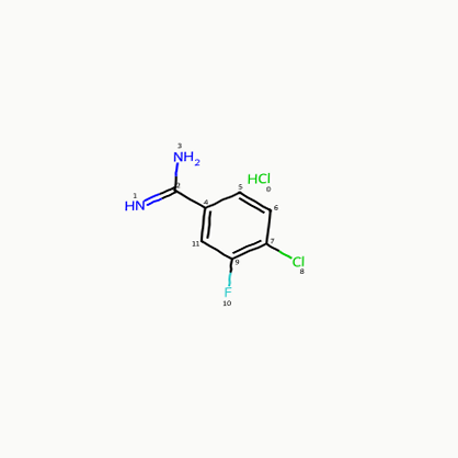 Cl.N=C(N)c1ccc(Cl)c(F)c1